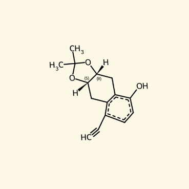 C#Cc1ccc(O)c2c1C[C@@H]1OC(C)(C)O[C@@H]1C2